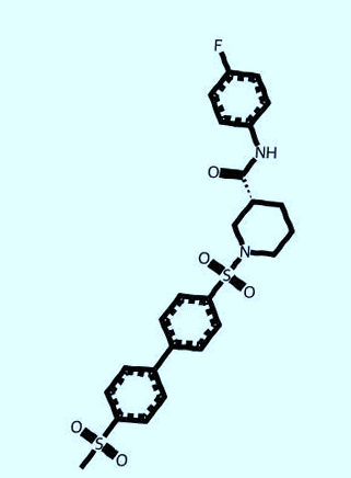 CS(=O)(=O)c1ccc(-c2ccc(S(=O)(=O)N3CCC[C@@H](C(=O)Nc4ccc(F)cc4)C3)cc2)cc1